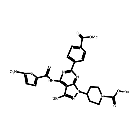 COC(=O)c1ccc(-c2nc(NC(=O)c3ccc([N+](=O)[O-])s3)c3c(C(C)(C)C)nn(C4CCN(C(=O)OC(C)(C)C)CC4)c3n2)cc1